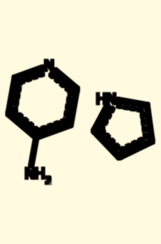 Nc1ccncc1.c1cc[nH]c1